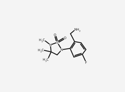 CN1C(C)(C)CN(c2cc(F)ccc2CN)S1(=O)=O